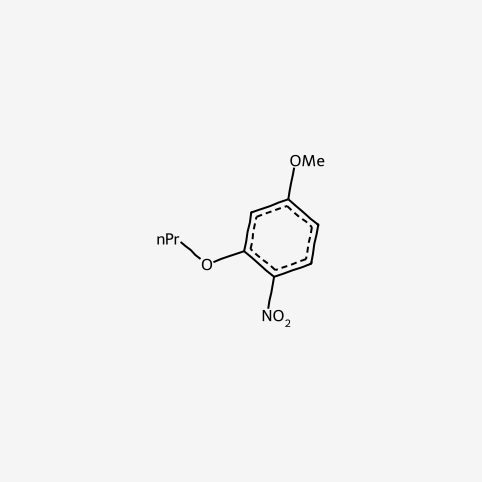 CCCOc1cc(OC)ccc1[N+](=O)[O-]